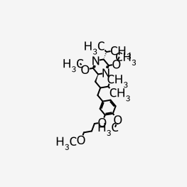 COCCCOc1cc(CC(C[C@@H]2N=C(OC)[C@@H](C(C)C)N=C2OC)C(C)C)ccc1OC